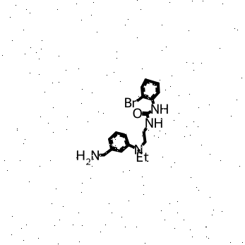 CCN(CCNC(=O)Nc1ccccc1Br)c1cccc(CN)c1